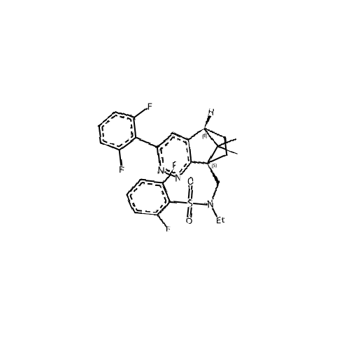 CCN(C[C@@]12CC[C@@H](c3cc(-c4c(F)cccc4F)nnc31)C2(C)C)S(=O)(=O)c1c(F)cccc1F